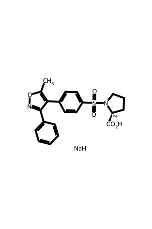 Cc1onc(-c2ccccc2)c1-c1ccc(S(=O)(=O)N2CCC[C@H]2C(=O)O)cc1.[NaH]